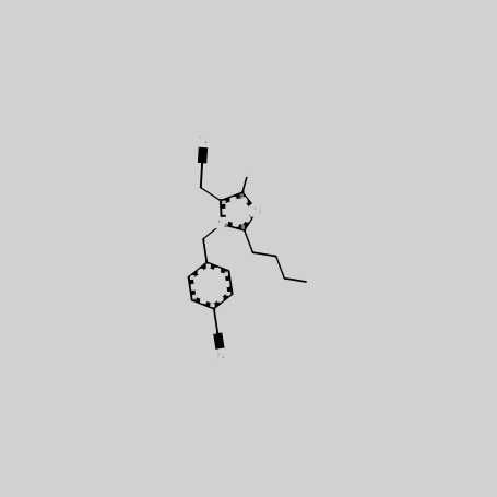 CCCCc1nc(Cl)c(CC#N)n1Cc1ccc(C#N)cc1